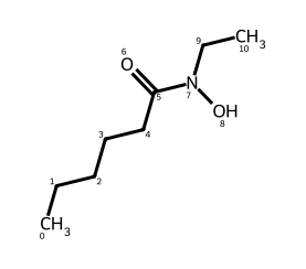 CCCCCC(=O)N(O)CC